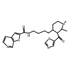 CC1C(C(=O)c2cncs2)C(CCCCNC(=O)c2cc3ccncc3s2)CCN1C